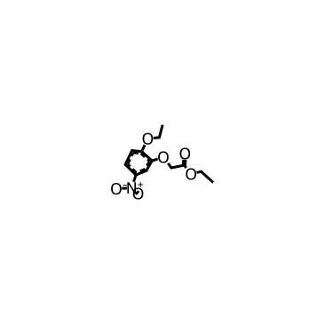 CCOC(=O)COc1cc([N+](=O)[O-])ccc1OCC